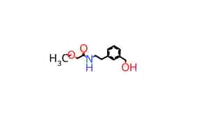 COCC(=O)NCCc1cccc(CO)c1